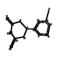 O=C1CC(c2cccc(I)c2)CC(=O)O1